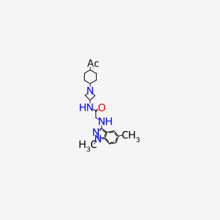 CC(=O)C1CCC(N2CC(NC(=O)CNc3nn(C)c4ccc(C)cc34)C2)CC1